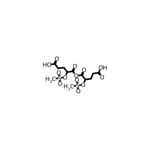 CS(=O)(=O)OC(CCC(=O)O)C(=O)OC(=O)C(CCC(=O)O)OS(C)(=O)=O